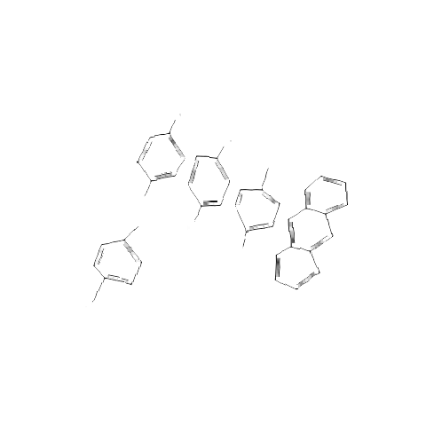 Oc1ccc(O)cc1.Oc1ccc(O)cc1.Oc1ccc(O)cc1.Oc1ccc(O)cc1.c1ccc2cc3ccccc3cc2c1